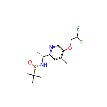 Cc1cc([C@@H](C)N[S+]([O-])C(C)(C)C)ncc1OCC(F)F